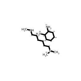 CNCCCCCCN(C)C.NC1CCCCC1N